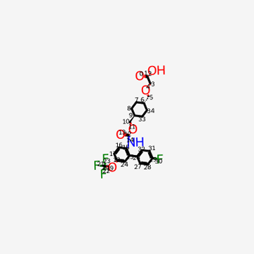 O=C(O)COC[C@H]1CC[C@H](COC(=O)Nc2ccc(OC(F)(F)F)cc2-c2ccc(F)cc2)CC1